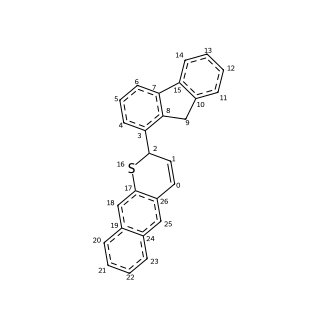 C1=CC(c2cccc3c2Cc2ccccc2-3)Sc2cc3ccccc3cc21